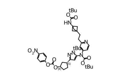 CC(C)(C)OC(=O)NC12CC(CCc3cc(N(C(=O)OC(C)(C)C)c4cc([C@H]5CC[C@@H](OC(=O)Oc6ccc([N+](=O)[O-])cc6)C5)nn4C(C)(C)C)ccn3)(C1)C2